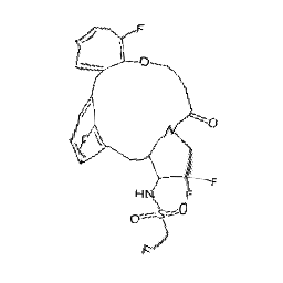 O=C1CCOc2c(F)cccc2-c2cccc(c2F)CC2C(NS(=O)(=O)CF)C(F)(F)CN12